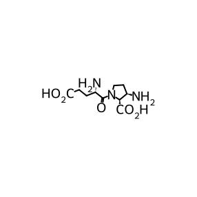 N[C@@H]1CCN(C(=O)[C@@H](N)CCC(=O)O)[C@@H]1C(=O)O